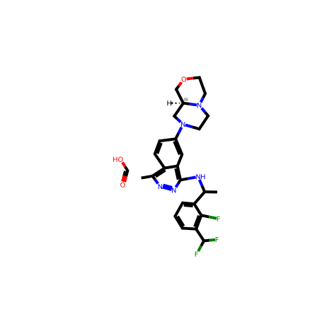 Cc1nnc(NC(C)c2cccc(C(F)F)c2F)c2cc(N3CCN4CCOC[C@@H]4C3)ccc12.O=CO